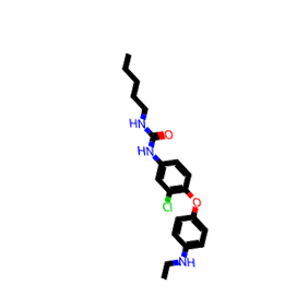 CCCCCNC(=O)Nc1ccc(Oc2ccc(NCC)cc2)c(Cl)c1